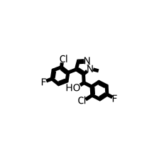 Cn1ncc(-c2ccc(F)cc2Cl)c1C(O)c1ccc(F)cc1Cl